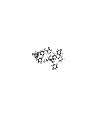 Cc1ccc(C2O[C@H](COCc3ccccc3)[C@@H](OCc3ccccc3)[C@H](OCc3ccccc3)[C@H]2OCc2ccccc2)cc1Cc1ccc(OS(=O)(=O)C(F)(F)F)cc1